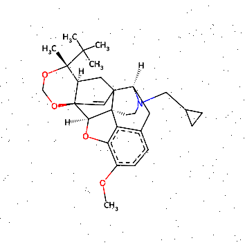 COc1ccc2c3c1O[C@H]1[C@@]45C=CC6(C[C@@H]4[C@@](C)(C(C)(C)C)OCO5)[C@@H](C2)N(CC2CC2)CC[C@]316